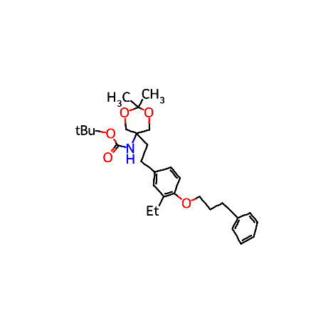 CCc1cc(CCC2(NC(=O)OC(C)(C)C)COC(C)(C)OC2)ccc1OCCCc1ccccc1